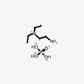 CCN(CC)CCN.O=P(O)(O)O